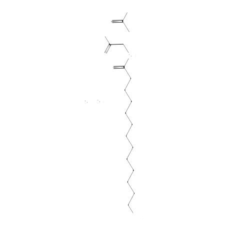 CCCCCCCCCCCCCC(=O)N[C@@H](CC(=O)[O-])C(=O)[O-].[Na+].[Na+]